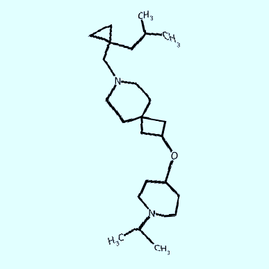 CC(C)CC1(CN2CCC3(CC2)CC(OC2CCN(C(C)C)CC2)C3)CC1